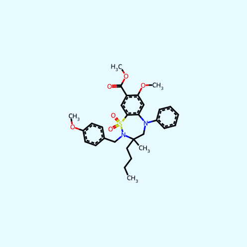 CCCCC1(C)CN(c2ccccc2)c2cc(OC)c(C(=O)OC)cc2S(=O)(=O)N1Cc1ccc(OC)cc1